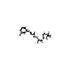 CN(C(=O)CNC(=O)/C=C/c1cccc(F)c1)C1CCS(=O)(=O)C1